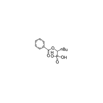 CCCCC(OC(=O)c1ccccc1)P(=O)(O)O